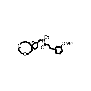 CCN(CC1CCC2(CCCCCCCCC2)S1)C(=O)CCc1cccc(OC)c1